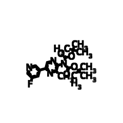 Cc1nc(-c2cncc(F)c2)cnc1N(C(=O)OC(C)(C)C)C(=O)OC(C)(C)C